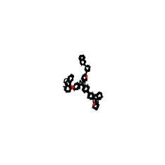 c1ccc(-n2c3ccccc3c3cc(-c4ccc(N(c5ccc(-c6cccc(-c7ccc8ccccc8c7)c6)cc5)c5ccc(-c6cccc7sc8ccccc8c67)cc5)cc4)ccc32)cc1